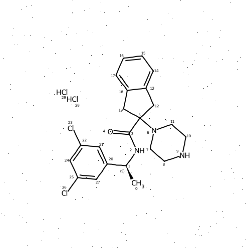 C[C@H](NC(=O)C1(N2CCNCC2)Cc2ccccc2C1)c1cc(Cl)cc(Cl)c1.Cl.Cl